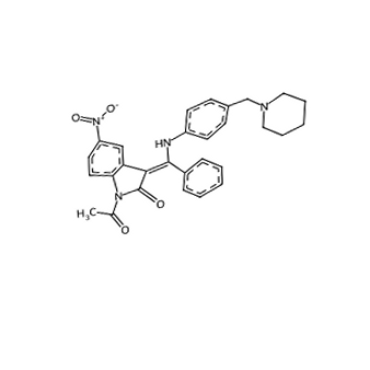 CC(=O)N1C(=O)C(=C(Nc2ccc(CN3CCCCC3)cc2)c2ccccc2)c2cc([N+](=O)[O-])ccc21